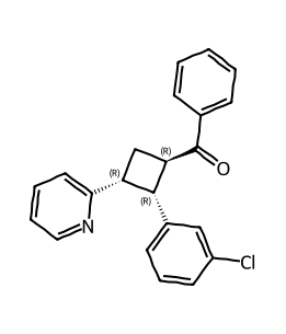 O=C(c1ccccc1)[C@@H]1C[C@@H](c2ccccn2)[C@H]1c1cccc(Cl)c1